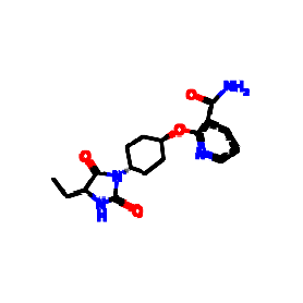 CCC1NC(=O)N([C@H]2CC[C@H](Oc3ncccc3C(N)=O)CC2)C1=O